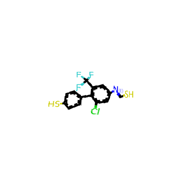 FC(F)(F)c1cc(/N=C/S)cc(Cl)c1-c1ccc(S)cc1